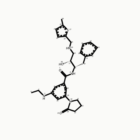 CCNc1cc(C(=O)N[C@@H](Cc2ccccc2)[C@H](O)CNCc2ccc(C)s2)cc(N2CCCC2=O)c1